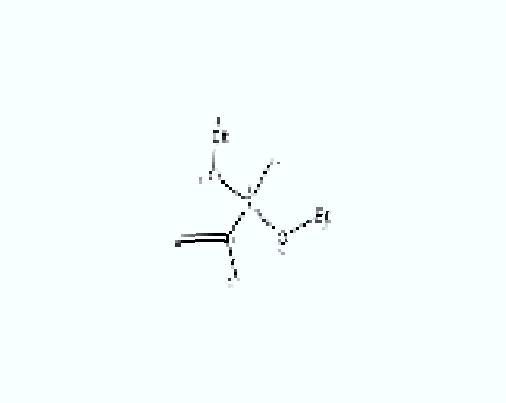 C=C(C)[Si](C)(OCC)OCC